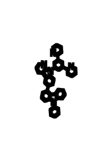 c1ccc(-n2c3ccccc3c3c(-c4ccc5c(c4)c4cccnc4n5-c4cc(-c5ccccn5)cc(-c5ccccn5)c4)cccc32)cc1